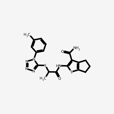 Cc1cccc(-n2nnnc2SC(C)C(=O)Nc2sc3c(c2C(N)=O)CCC3)c1